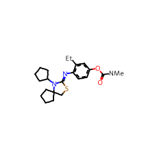 CCc1cc(OC(=O)NC)ccc1N=C1SCC2(CCCC2)N1C1CCCC1